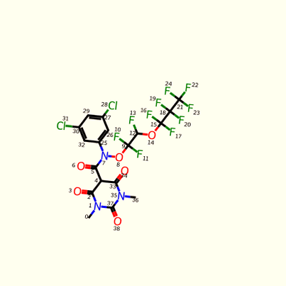 CN1C(=O)C(C(=O)N(OC(F)(F)C(F)OC(F)(F)C(F)(F)C(F)(F)F)c2cc(Cl)cc(Cl)c2)C(=O)N(C)C1=O